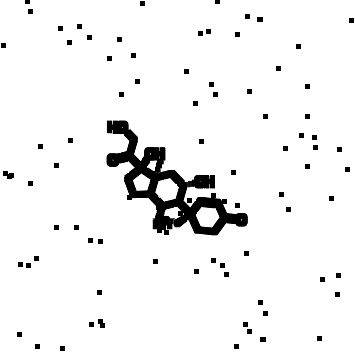 CCCC1C2CC[C@](O)(C(=O)CO)[C@@]2(C)C[C@H](O)C1[C@]1(C)C=CC(=O)CC1